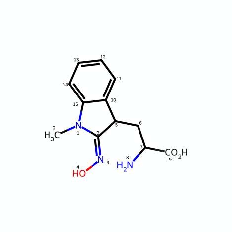 CN1C(=NO)C(CC(N)C(=O)O)c2ccccc21